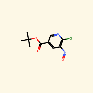 CC(C)(C)OC(=O)c1cnc(Cl)c(N=O)c1